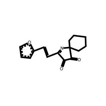 O=C1C(=O)C2(CCCCC2)N=C1C=Cc1ccco1